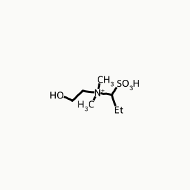 CCC([N+](C)(C)CCO)S(=O)(=O)O